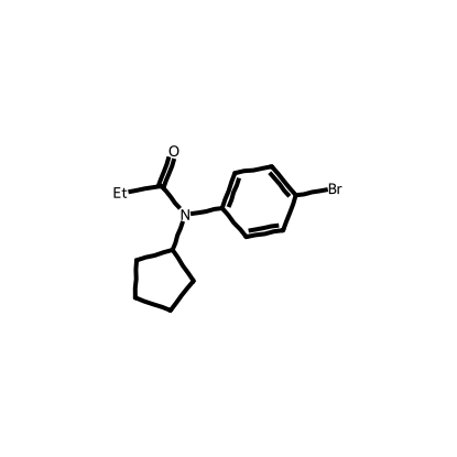 CCC(=O)N(c1ccc(Br)cc1)C1CCCC1